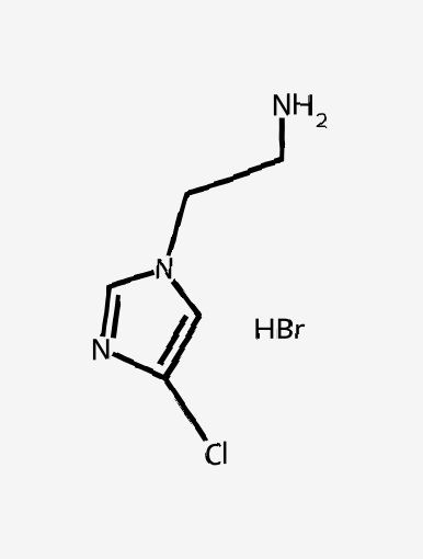 Br.NCCn1cnc(Cl)c1